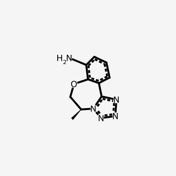 C[C@H]1COc2c(N)cccc2-c2nnnn21